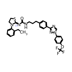 CCc1ccccc1N1CCS/C1=N\C(=O)NCCCc1ccc(-c2ncn(-c3ccc(OC(F)(F)F)cc3)n2)cc1